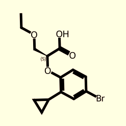 CCOC[C@H](Oc1ccc(Br)cc1C1CC1)C(=O)O